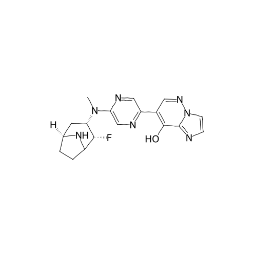 CN(c1cnc(-c2cnn3ccnc3c2O)cn1)[C@H]1C[C@@H]2CCC(N2)[C@H]1F